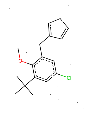 COc1c(CC2=CCC=C2)cc(Cl)cc1C(C)(C)C